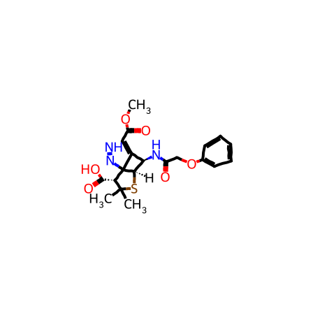 COC(=O)C=C1[C@@H](NC(=O)COc2ccccc2)[C@H]2SC(C)(C)[C@H](C(=O)O)C12N=N